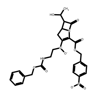 CC(O)C1C(=O)N2C(C(=O)OCc3ccc([N+](=O)[O-])cc3)=C([S+]([O-])CCNC(=O)OCc3ccccc3)CC12